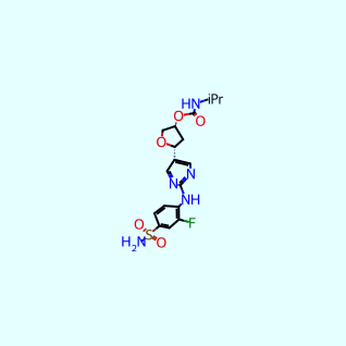 CC(C)NC(=O)O[C@H]1CO[C@@H](c2cnc(Nc3ccc(S(N)(=O)=O)cc3F)nc2)C1